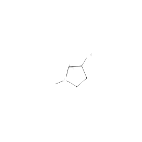 CCN1CCC(O)[C@H]1C(=O)O